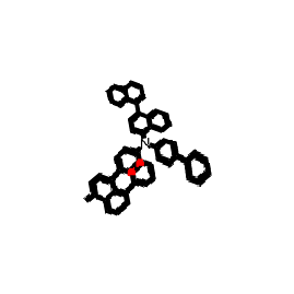 Cc1ccc(-c2ccc(N(c3ccc(-c4ccccc4)cc3)c3ccc(-c4cccc5ccccc45)c4ccccc34)cc2)c2c(-c3ccccc3)cccc12